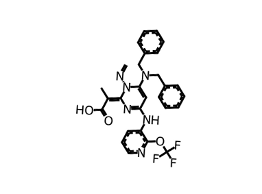 C=NN1C(N(Cc2ccccc2)Cc2ccccc2)=CC(Nc2cccnc2OC(F)(F)F)=N/C1=C(/C)C(=O)O